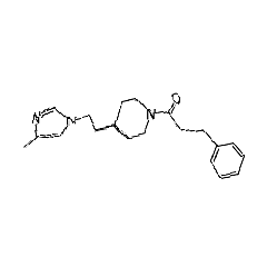 Cc1cn(CCC2CCN(C(=O)CCc3ccccc3)CC2)cn1